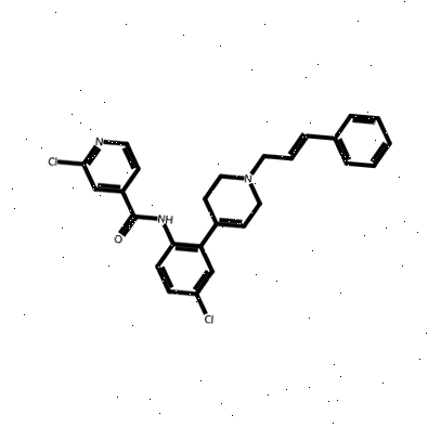 O=C(Nc1ccc(Cl)cc1C1=CCN(C/C=C/c2ccccc2)CC1)c1ccnc(Cl)c1